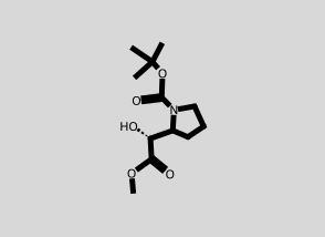 COC(=O)[C@H](O)C1CCCN1C(=O)OC(C)(C)C